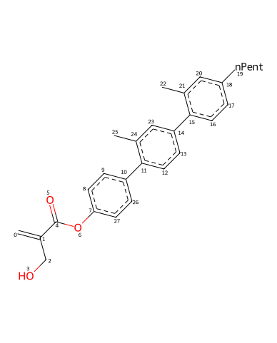 C=C(CO)C(=O)Oc1ccc(-c2ccc(-c3ccc(CCCCC)cc3C)cc2C)cc1